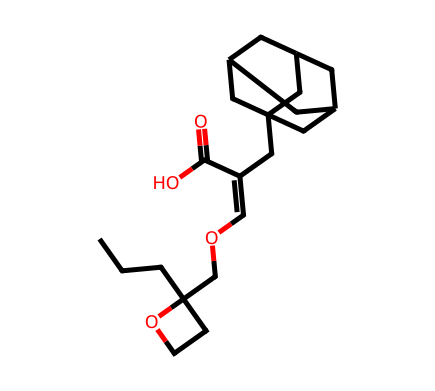 CCCC1(COC=C(CC23CC4CC(CC(C4)C2)C3)C(=O)O)CCO1